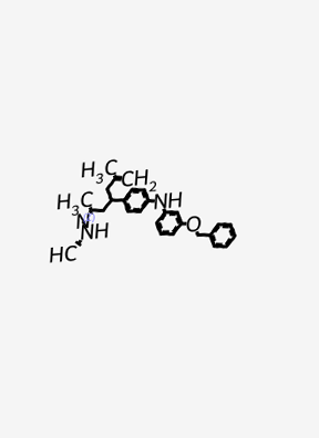 C#CN/N=C(/C)CC(CC(=C)C)c1ccc(Nc2cccc(OCc3ccccc3)c2)cc1